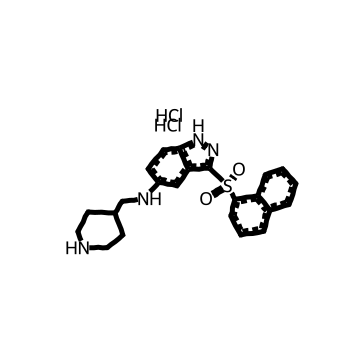 Cl.Cl.O=S(=O)(c1cccc2ccccc12)c1n[nH]c2ccc(NCC3CCNCC3)cc12